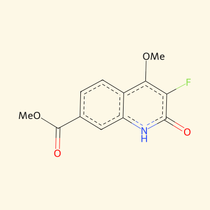 COC(=O)c1ccc2c(OC)c(F)c(=O)[nH]c2c1